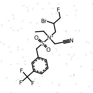 CC[N+](CC#N)(CC(Br)CF)S(=O)(=O)Cc1cccc(C(F)(F)F)c1